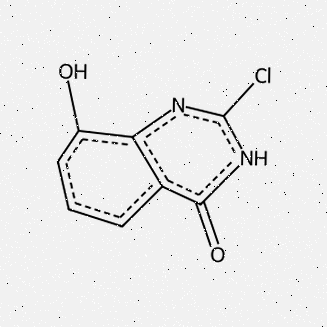 O=c1[nH]c(Cl)nc2c(O)cccc12